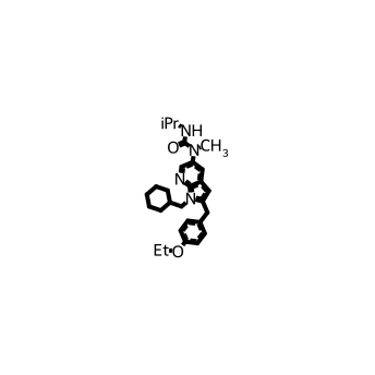 CCOc1ccc(Cc2cc3cc(N(C)C(=O)NC(C)C)cnc3n2CC2CCCCC2)cc1